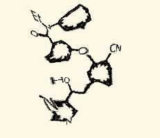 CCN(C(=O)c1cccc(Oc2cc(CC(O)c3cncn3C)ccc2C#N)c1)c1ccccc1